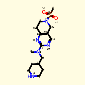 CN(CC1CCNCC1)c1ncc2c(n1)CCN(S(C)(=O)=O)C2